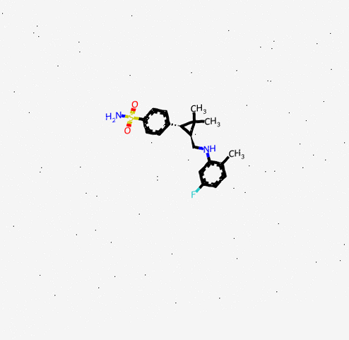 Cc1ccc(F)cc1NC[C@H]1[C@H](c2ccc(S(N)(=O)=O)cc2)C1(C)C